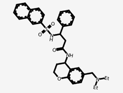 CCN(CC)Cc1ccc2c(c1)C(NC(=O)CC(NS(=O)(=O)c1ccc3ccccc3c1)c1ccccc1)CCO2